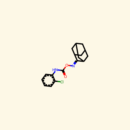 O=C(Nc1ccccc1Cl)ON=C1C2CC3CC(C2)CC1C3